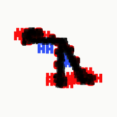 COC(OCCCCC(=O)NCCCNC(=O)CCOCC(C)(COCCC(=O)NCCCNC(=O)CCCCOC(O)C(O)C(O)C(C)O)COCCC(=O)NCCCNC(=O)CCCCOC(O)C(O)C(O)C(O)C(C)COP(=O)(O)O)C(O)C(O)C(O)C(C)COP(=O)(O)O